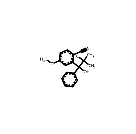 COc1ccc(C#N)c(C(O)(c2ccccc2)C(C)(C)C)c1